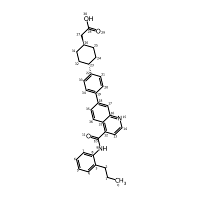 CCCc1ccccc1NC(=O)c1ccnc2cc(-c3ccc([C@H]4CC[C@H](CC(=O)O)CC4)cc3)ccc12